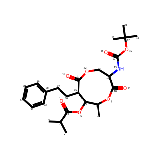 CC(C)C(=O)OC1C(C)OC(=O)C(NC(=O)OC(C)(C)C)COC(=O)C1CCc1ccccc1